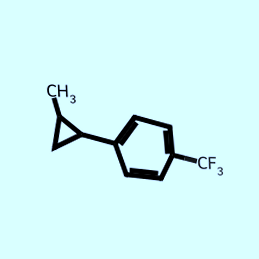 CC1CC1c1ccc(C(F)(F)F)cc1